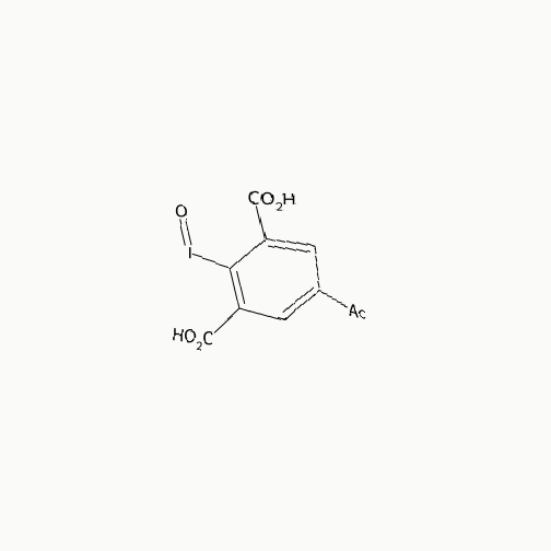 CC(=O)c1cc(C(=O)O)c(I=O)c(C(=O)O)c1